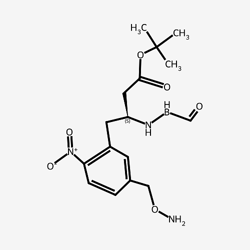 CC(C)(C)OC(=O)C[C@H](Cc1cc(CON)ccc1[N+](=O)[O-])NBC=O